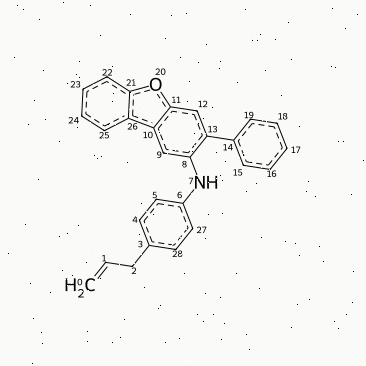 C=CCc1ccc(Nc2cc3c(cc2-c2ccccc2)oc2ccccc23)cc1